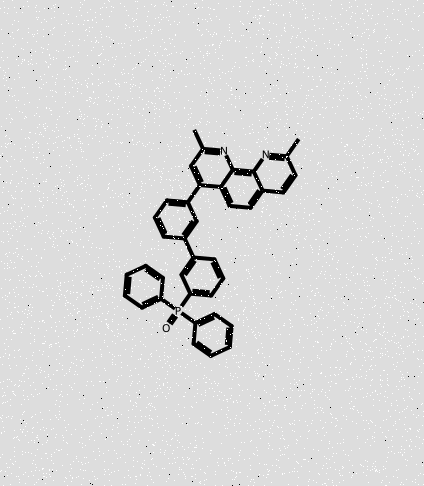 Cc1ccc2ccc3c(-c4cccc(-c5cccc(P(=O)(c6ccccc6)c6ccccc6)c5)c4)cc(C)nc3c2n1